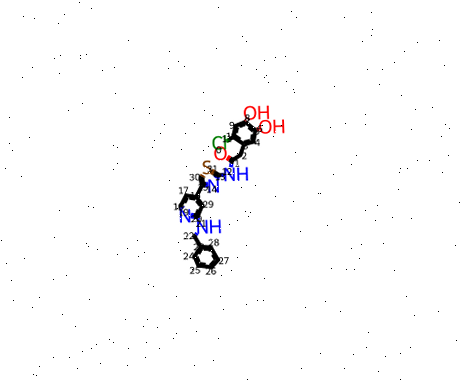 O=C(Cc1cc(O)c(O)cc1Cl)Nc1nc(-c2ccnc(NCc3ccccc3)c2)cs1